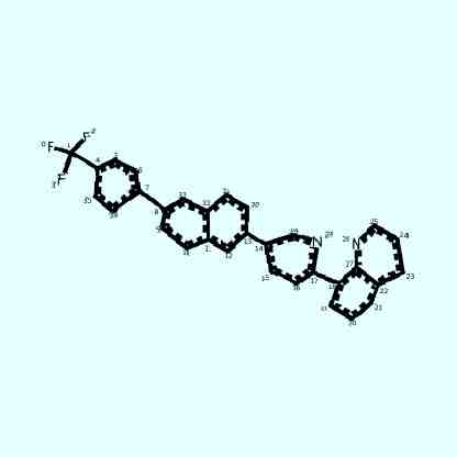 FC(F)(F)c1ccc(-c2ccc3cc(-c4ccc(-c5cccc6cccnc56)nc4)ccc3c2)cc1